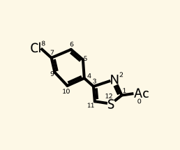 CC(=O)c1nc(-c2ccc(Cl)cc2)cs1